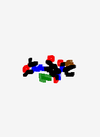 CC[C@H]1CSC(=O)N1c1noc2c(F)c(N3C[C@@H](C)O[C@H](C)C3)c(C=O)cc12